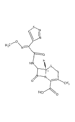 CON=C(C(=O)NC1C(=O)N2C(C(=O)O)=C(C)CS[C@@H]12)c1csnn1